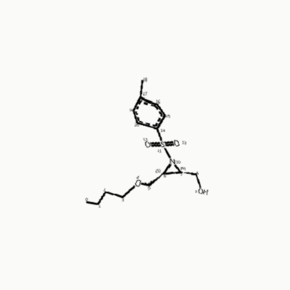 CCCCOC[C@@H]1[C@H](CO)N1S(=O)(=O)c1ccc(C)cc1